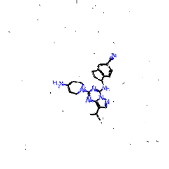 CC(C)c1cnn2c(NC3CCc4cc(C#N)ccc43)nc(N3CCC(N)CC3)nc12